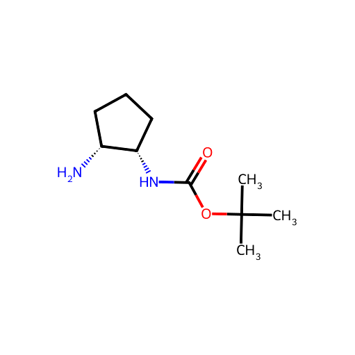 CC(C)(C)OC(=O)N[C@H]1CCC[C@H]1N